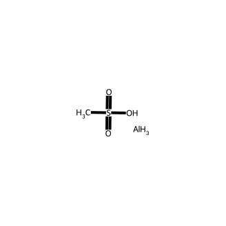 CS(=O)(=O)O.[AlH3]